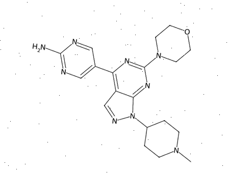 CN1CCC(n2ncc3c(-c4cnc(N)nc4)nc(N4CCOCC4)nc32)CC1